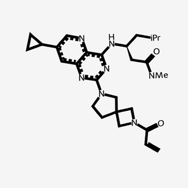 C=CC(=O)N1CC2(CCN(c3nc(N[C@H](CC(=O)NC)CC(C)C)c4ncc(C5CC5)cc4n3)C2)C1